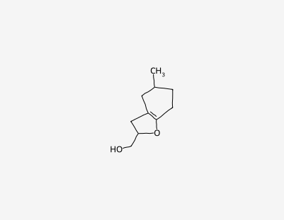 CC1CCC2=C(C1)CC(CO)O2